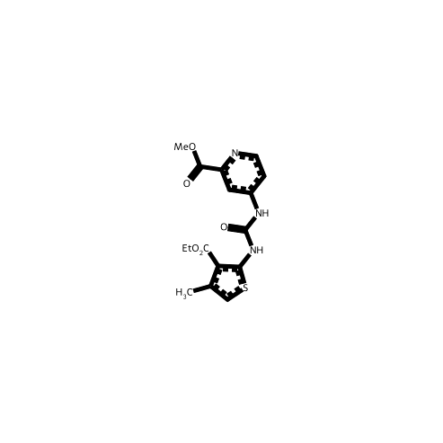 CCOC(=O)c1c(C)csc1NC(=O)Nc1ccnc(C(=O)OC)c1